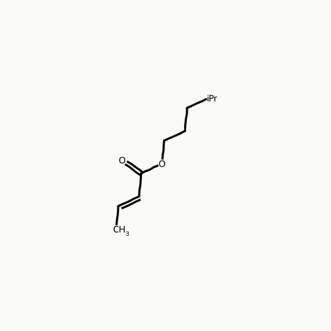 C/C=C/C(=O)OCCCC(C)C